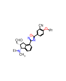 CCN(C)[C@H]1c2cccc(-c3noc(-c4ccc(OC(C)C)c(C#N)c4)n3)c2C[C@H]1CC=O